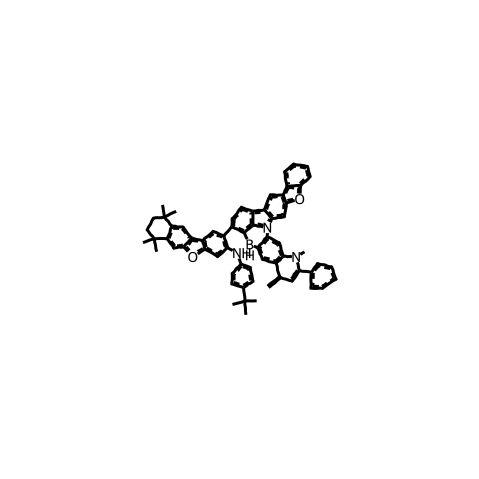 C=C1C=C(c2ccccc2)N(C)c2cc3c(cc21)Bc1c(-c2cc4c(cc2Nc2ccc(C(C)(C)C)cc2)oc2cc5c(cc24)C(C)(C)CCC5(C)C)ccc2c4cc5c(cc4n-3c12)oc1ccccc15